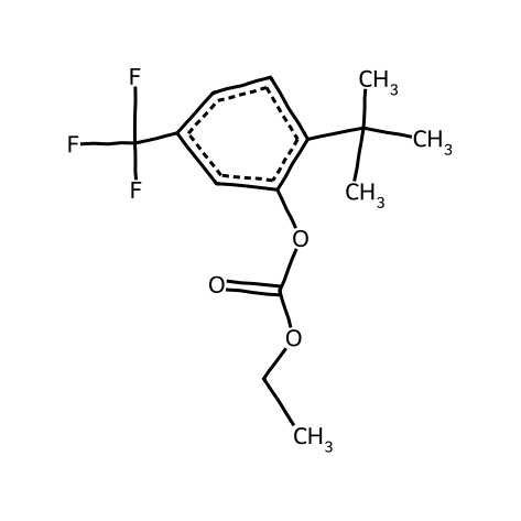 CCOC(=O)Oc1cc(C(F)(F)F)ccc1C(C)(C)C